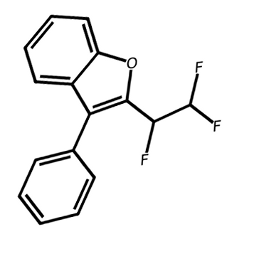 FC(F)C(F)c1oc2ccccc2c1-c1ccccc1